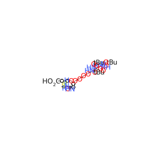 CC(C)(C)OC(=O)/N=C(/NCCCC(NC(=O)OC(C)(C)C)C(=O)NCCOCCOCCOCCOc1cc2c(cc1Oc1ccc(-c3ccc(C(=O)O)cc3)c(F)c1)[C@@](C)(CC(=O)Nc1nccs1)NCC2)NC(=O)OC(C)(C)C